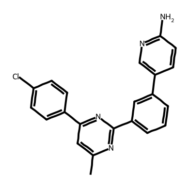 Cc1cc(-c2ccc(Cl)cc2)nc(-c2cccc(-c3ccc(N)nc3)c2)n1